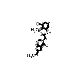 CCc1cc2c(=O)n(CC(=O)Nc3cccc(Cl)c3SC)cnc2s1